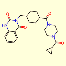 O=C(C1CCC(Cn2c(=O)[nH]c3ccccc3c2=O)CC1)N1CCN(C(=O)C2CC2)CC1